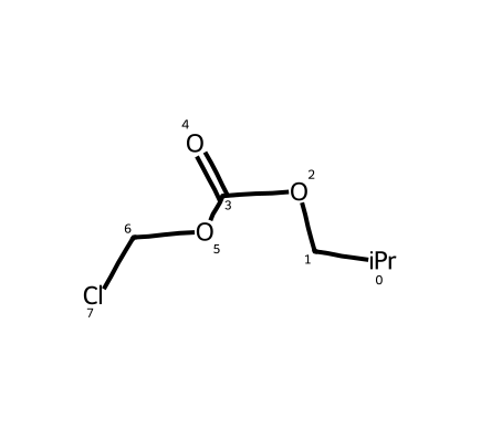 CC(C)COC(=O)OCCl